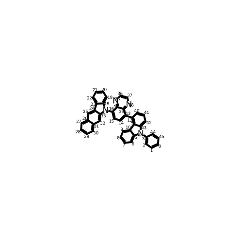 c1ccc(-n2c3ccccc3c3c(-c4ccc(-n5c6ccccc6c6cc7ccccc7cc65)c5nccnc45)cccc32)cc1